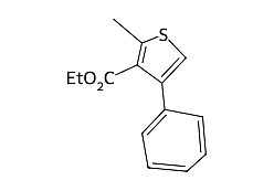 CCOC(=O)c1c(-c2ccccc2)csc1C